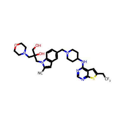 N#Cc1cc2cc(CN3CCC(Nc4ncnc5sc(CC(F)(F)F)cc45)CC3)ccc2n1CC(O)(CO)CN1CCOCC1